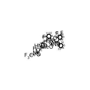 COC(=O)N[C@H](C(=O)Nc1cccc(F)c1CC[C@@H]1CN[C@H](COC(=O)NCC(F)(F)F)CO1)[C@H](c1ccccc1)c1ccc(F)c(F)c1